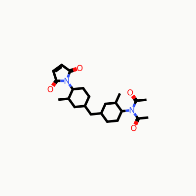 CC(=O)N(C(C)=O)C1CCC(CC2CCC(N3C(=O)C=CC3=O)C(C)C2)CC1C